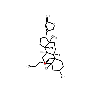 C=C1C=C(C2CCC3(O)[C@@H]4CCC5(O)C[C@H](O)CCC5(/C=N/CCO)[C@H]4CCC23C)CO1